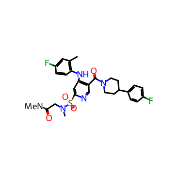 CNC(=O)CN(C)S(=O)(=O)c1cc(Nc2ccc(F)cc2C)c(C(=O)N2CCC(c3ccc(F)cc3)CC2)cn1